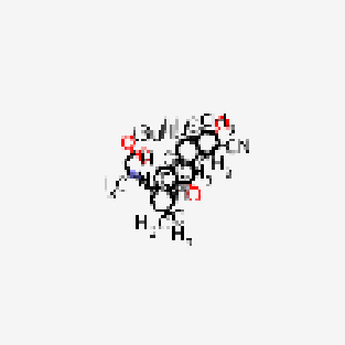 C/C(=C\C[C@]12CCC(C)(C)C[C@@]1(C)[C@H]1C(=O)C=C3[C@@]4(C)C=C(C#N)C(=O)C(C)(C)[C@]4(C)CC[C@@]3(C)[C@]1(C)CC2)CC(=O)OC(C)(C)C